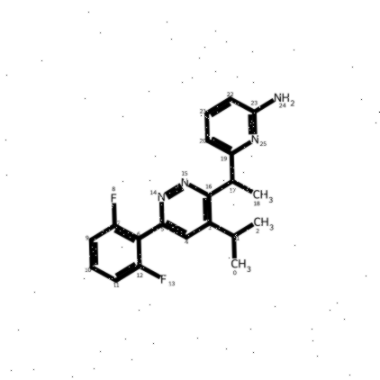 CC(C)c1cc(-c2c(F)cccc2F)nnc1C(C)c1cccc(N)n1